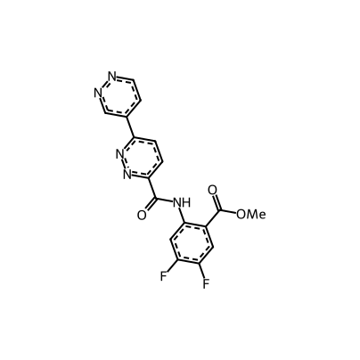 COC(=O)c1cc(F)c(F)cc1NC(=O)c1ccc(-c2ccnnc2)nn1